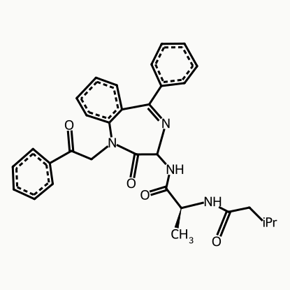 CC(C)CC(=O)N[C@@H](C)C(=O)NC1N=C(c2ccccc2)c2ccccc2N(CC(=O)c2ccccc2)C1=O